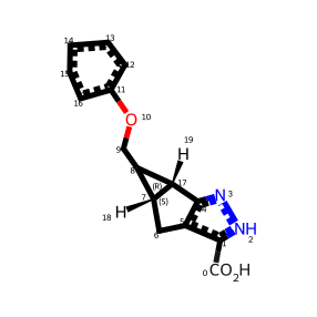 O=C(O)c1[nH]nc2c1C[C@@H]1C(COc3ccccc3)[C@H]21